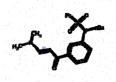 CCCCN(c1cccc(C(=O)/C=C/N(C)C)c1)S(=O)(=O)C(C)C